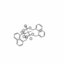 CC(C(=O)O)(P(=O)(OCc1ccccc1)OCc1ccccc1)P(=O)(OCc1ccccc1)OCc1ccccc1